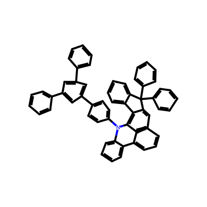 c1ccc(-c2cc(-c3ccccc3)cc(-c3ccc(N(c4ccccc4-c4ccccc4)c4cccc5c4-c4ccccc4C5(c4ccccc4)c4ccccc4)cc3)c2)cc1